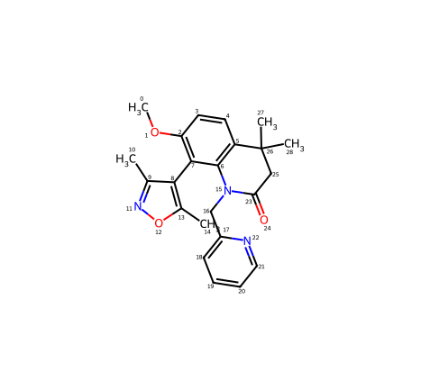 COc1ccc2c(c1-c1c(C)noc1C)N(Cc1ccccn1)C(=O)CC2(C)C